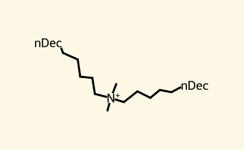 CCCCCCCCCCCCCCC[N+](C)(C)CCCCCCCCCCCCCCC